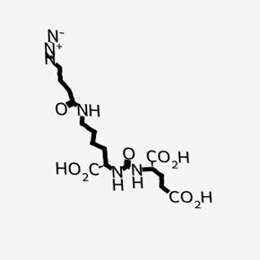 [N-]=[N+]=NCCCC(=O)NCCCC[C@H](NC(=O)N[C@@H](CCC(=O)O)C(=O)O)C(=O)O